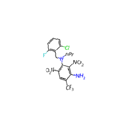 CCCN(Cc1c(F)cccc1Cl)c1c([N+](=O)[O-])cc(C(F)(F)F)c(N)c1[N+](=O)[O-]